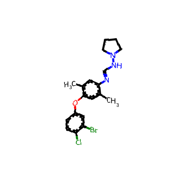 Cc1cc(Oc2ccc(Cl)c(Br)c2)c(C)cc1/N=C/NN1CCCC1